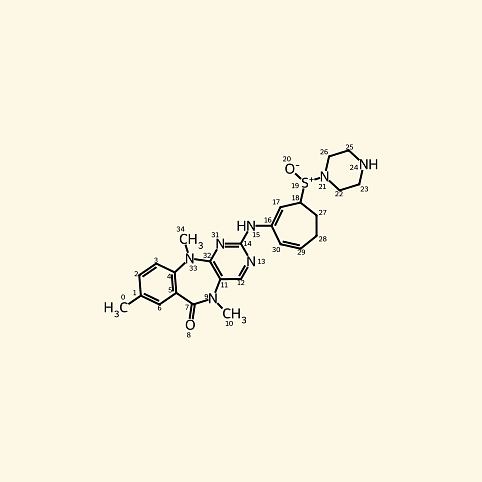 Cc1ccc2c(c1)C(=O)N(C)c1cnc(NC3=CC([S+]([O-])N4CCNCC4)CCC=C3)nc1N2C